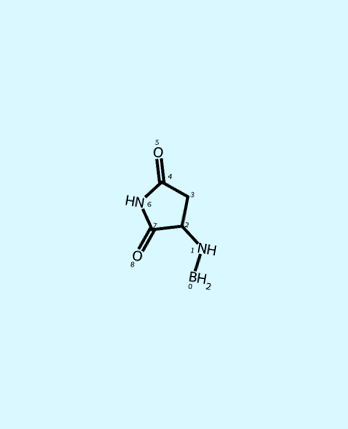 BNC1CC(=O)NC1=O